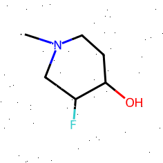 [CH2]N1CCC(O)C(F)C1